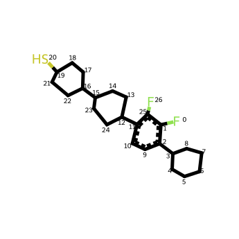 Fc1c(C2CCCCC2)ccc(C2CCC(C3CCC(S)CC3)CC2)c1F